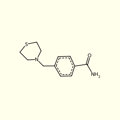 NC(=O)c1ccc(CN2CCSCC2)cc1